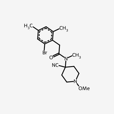 CON1CCC(C#N)(N(C)C(=O)Cc2c(C)cc(C)cc2Br)CC1